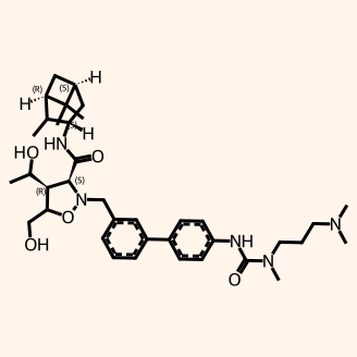 CC(O)[C@@H]1C(CO)ON(Cc2cccc(-c3ccc(NC(=O)N(C)CCCN(C)C)cc3)c2)[C@@H]1C(=O)N[C@H]1C[C@@H]2C[C@H](C1C)C2(C)C